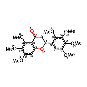 COc1cc(C2CC(=O)c3c(cc(OC)c(OC)c3OC)O2)c(OC)c(OC)c1OC